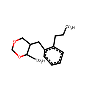 O=C(O)CCc1ccccc1CC1COCOC1C(=O)O